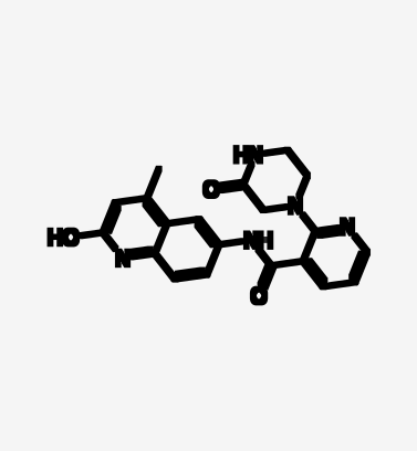 Cc1cc(O)nc2ccc(NC(=O)c3cccnc3N3CCNC(=O)C3)cc12